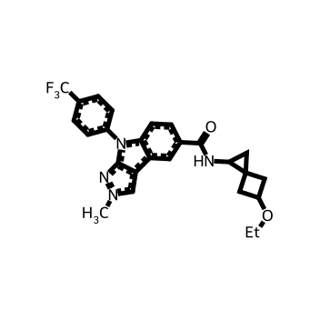 CCOC1CC2(C1)CC2NC(=O)c1ccc2c(c1)c1cn(C)nc1n2-c1ccc(C(F)(F)F)cc1